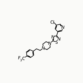 FC(F)(F)c1ccc(CCN2CCN(c3nc(-c4cncc(Cl)c4)ns3)CC2)cc1